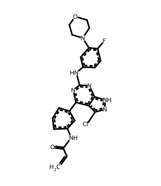 C=CC(=O)Nc1cccc(-c2nc(Nc3ccc(F)c(N4CCOCC4)c3)nc3[nH]nc(Cl)c23)c1